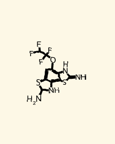 N=c1[nH]c2c(OC(F)(F)C(F)F)cc3c(c2s1)NC(N)S3